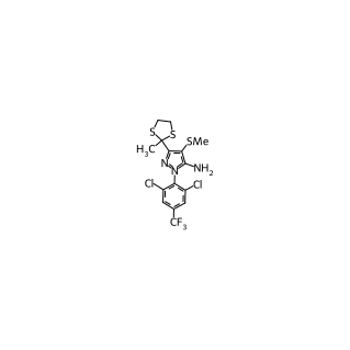 CSc1c(C2(C)SCCS2)nn(-c2c(Cl)cc(C(F)(F)F)cc2Cl)c1N